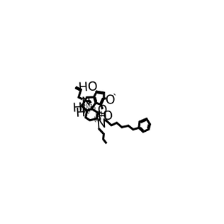 C=CCN1CC[C@]23c4c5c(O)cc(OC)c4O[C@H]2[C@@H](N(CCCC)C(=O)CCCCCc2ccccc2)CC[C@H]3[C@H]1C5